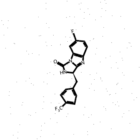 O=C1N[C@H](Cc2ccc(C(F)(F)F)cc2)c2nc3ccc(F)cc3n21